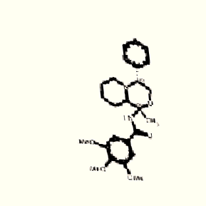 COc1cc(C(=O)N[C@@]2(C)OC[C@@H](c3ccccc3)N3CCCCC32)cc(OC)c1OC